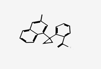 Cc1cc(C2(c3ccccc3C(N)=O)CC2)c2ccccc2c1